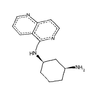 N[C@H]1CCC[C@@H](Nc2nccc3ncccc23)C1